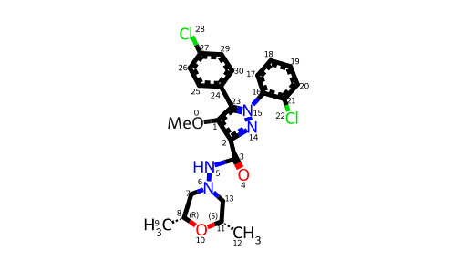 COc1c(C(=O)NN2C[C@@H](C)O[C@@H](C)C2)nn(-c2ccccc2Cl)c1-c1ccc(Cl)cc1